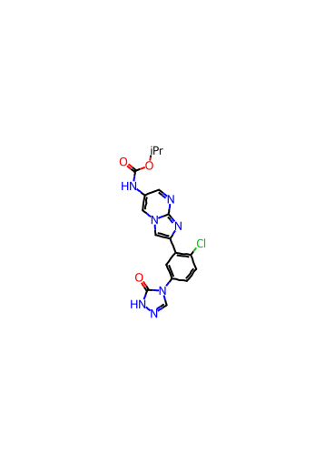 CC(C)OC(=O)Nc1cnc2nc(-c3cc(-n4cn[nH]c4=O)ccc3Cl)cn2c1